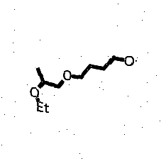 [CH2]COC(C)COCCCC[O]